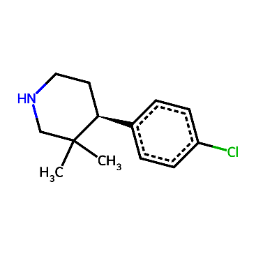 CC1(C)CNCC[C@H]1c1ccc(Cl)cc1